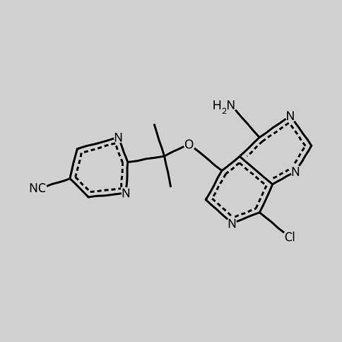 CC(C)(Oc1cnc(Cl)c2ncnc(N)c12)c1ncc(C#N)cn1